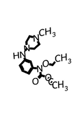 CCOC(=O)N(OCC)c1cccc(NN2CCN(C)CC2)c1